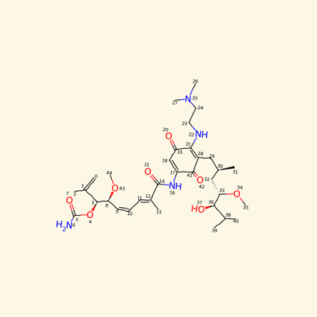 C=C(C)[C@H](OC(N)=O)[C@H](/C=C\C=C(/C)C(=O)NC1=CC(=O)C(NCCN(C)C)=C(C[C@@H](C)C[C@H](OC)[C@H](O)C(C)C)C1=O)OC